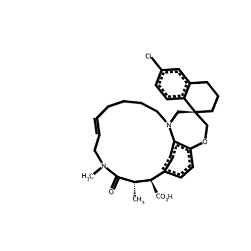 C[C@@H]1C(=O)N(C)C/C=C/CCCCN2C[C@@]3(CCCc4cc(Cl)ccc43)COc3ccc(cc32)[C@H]1C(=O)O